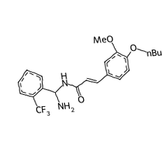 CCCCOc1ccc(C=CC(=O)NC(N)c2ccccc2C(F)(F)F)cc1OC